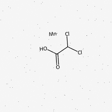 O=C(O)C(Cl)Cl.[Mn]